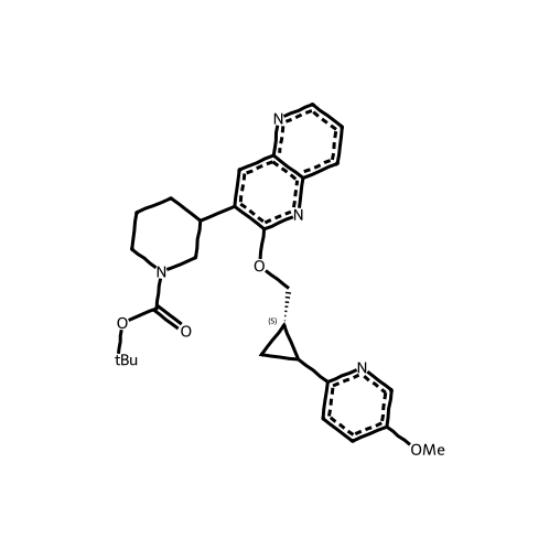 COc1ccc(C2C[C@@H]2COc2nc3cccnc3cc2C2CCCN(C(=O)OC(C)(C)C)C2)nc1